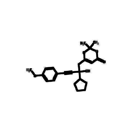 COc1ccc(C#CC(O)(CC2=CC(=O)OC(C)(C)O2)C2CCCC2)cc1